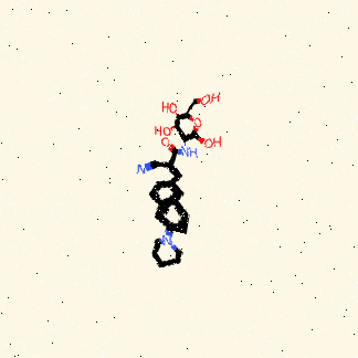 N#C/C(=C\c1ccc2cc(N3CCCCC3)ccc2c1)C(=O)N[C@H]1C(O)O[C@H](CO)[C@@H](O)[C@@H]1O